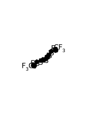 Fc1c(-c2ccc(-c3cc4cc5c(cc4s3)sc3cc4sc(-c6ccc(-c7cccc(C(F)(F)F)c7F)s6)cc4cc35)s2)cccc1C(F)(F)F